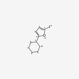 Ic1ccc(C2CCCCC2)o1